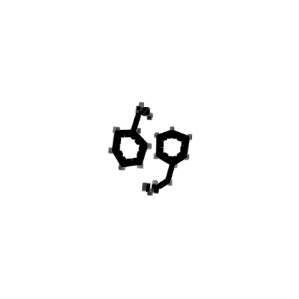 NCc1ccccc1.O=[N+]([O-])c1ccccc1